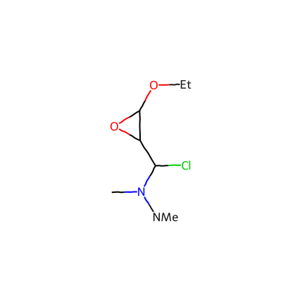 CCOC1OC1C(Cl)N(C)NC